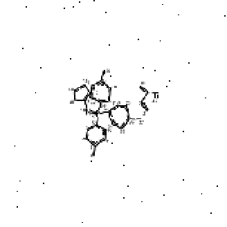 C=CC=C.Cc1ccc(P(=NC2=CC=CC2)(c2ccc(C)cc2)c2ccc(C)cc2)cc1.[Ti]